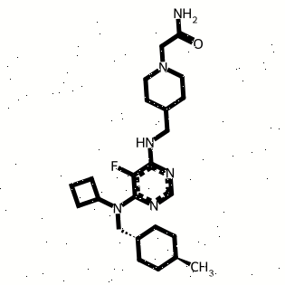 C[C@H]1CC[C@H](CN(c2ncnc(NCC3CCN(CC(N)=O)CC3)c2F)C2CCC2)CC1